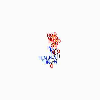 [N-]=[N+]=N[C@H]1[C@H]2OC[C@]1(COP(=O)(O)OP(=O)(O)OP(=O)(O)O)O[C@H]2n1cnc2c(=O)[nH]c(N)nc21